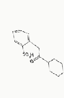 O=C(Cc1ccccc1S(=O)(=O)O)C1CCCCC1